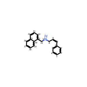 C(=C/c1ccccc1)/CNCc1cccc2ccccc12